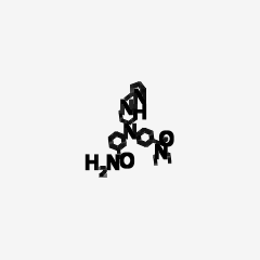 CCN(CC)C(=O)c1ccc(N(c2cccc(C(N)=O)c2)C2CCN(Cc3ccc[nH]3)CC2)cc1